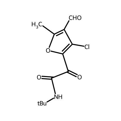 Cc1oc(C(=O)C(=O)NC(C)(C)C)c(Cl)c1C=O